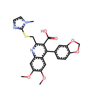 COc1cc2nc(CSc3nccn3C)c(C(=O)O)c(-c3ccc4c(c3)OCO4)c2cc1OC